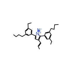 CC=CC1=C(c2cc(CC)cc(CCCC)c2)[N+](=[N-])C(c2cc(CC)cc(CCCC)c2)=C1